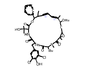 CCC(C)C1C(=O)NC(Cc2cc(Cl)c(O)c(Cl)c2)C(=O)NC(C(C)(C)O)C(=O)OC(c2ccccc2)C(C)/C=C/C=C(\C)C(OC)CC2OC2(C)C(=O)N1C